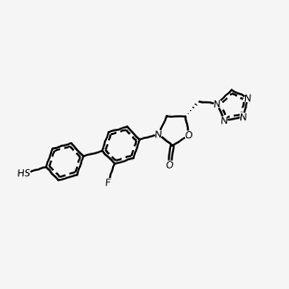 O=C1O[C@@H](Cn2cnnn2)CN1c1ccc(-c2ccc(S)cc2)c(F)c1